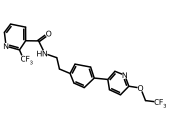 O=C(NCCc1ccc(-c2ccc(OCC(F)(F)F)nc2)cc1)c1cccnc1C(F)(F)F